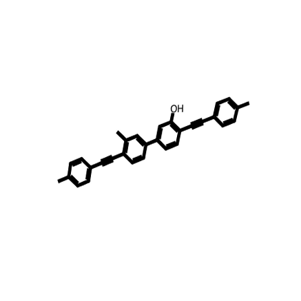 Cc1ccc(C#Cc2ccc(-c3ccc(C#Cc4ccc(C)cc4)c(O)c3)cc2C)cc1